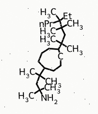 CCCC(C)(CC)C(C)(C)CC(C)(C)C1CCCC(C(C)(C)CC(C)(C)N)CCC1